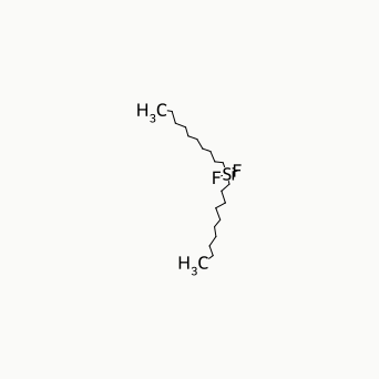 CCCCCCCCCC[Si](F)(F)CCCCCCCCCC